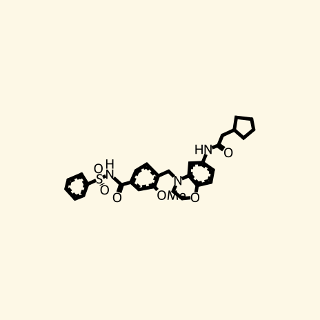 COc1cc(C(=O)NS(=O)(=O)c2ccccc2)ccc1CN1CCOc2ccc(NC(=O)CC3CCCC3)cc21